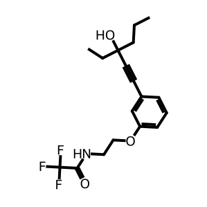 CCCC(O)(C#Cc1cccc(OCCNC(=O)C(F)(F)F)c1)CC